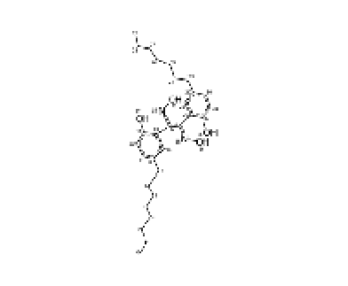 CCCCCCCCc1ccc(O)c(C(=NO)C(=NO)c2cc(CCCCCCC)ccc2O)c1